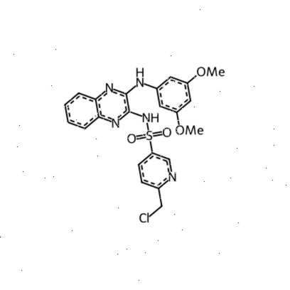 COc1cc(Nc2nc3ccccc3nc2NS(=O)(=O)c2ccc(CCl)nc2)cc(OC)c1